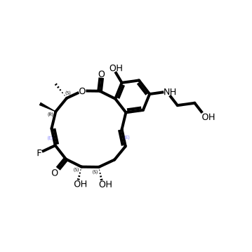 C[C@@H]1/C=C(/F)C(=O)[C@@H](O)[C@@H](O)C/C=C/c2cc(NCCO)cc(O)c2C(=O)O[C@H]1C